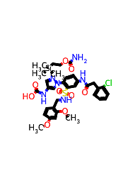 COc1ccc(CNS(=O)(=O)c2cc(NC(=O)Cc3ccccc3Cl)ccc2-n2cc(NC(=O)O)cn2)c(OC)c1.C[Si](C)(C)CCOC(N)=O